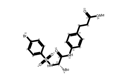 CCCC[C@H](NS(=O)(=O)c1ccc(Br)cc1)C(=O)Nc1ccc(CCC(=O)OC)cc1